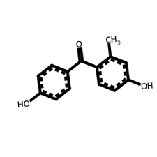 Cc1cc(O)ccc1C(=O)c1ccc(O)cc1